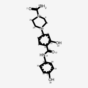 BC(=O)N1CCN(c2ccc(C(=O)Nc3ccc(O)cc3)c(O)c2)CC1